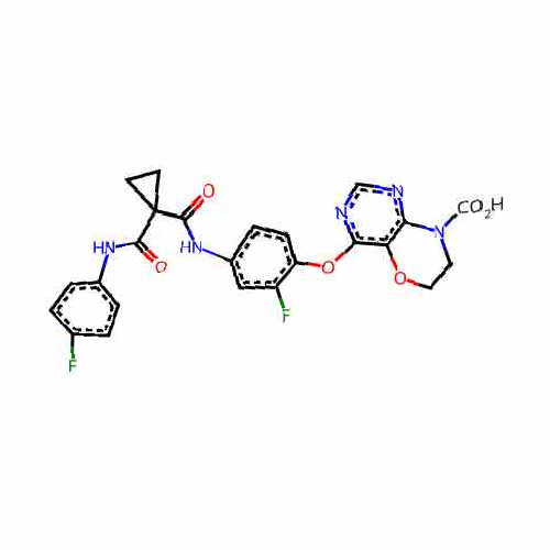 O=C(O)N1CCOc2c(Oc3ccc(NC(=O)C4(C(=O)Nc5ccc(F)cc5)CC4)cc3F)ncnc21